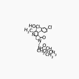 Cc1nc2c(c(-c3ccc(Cl)cc3Cl)c1CO)C(=O)N(CCN(C)C(=O)OC(C)(C)C)C2